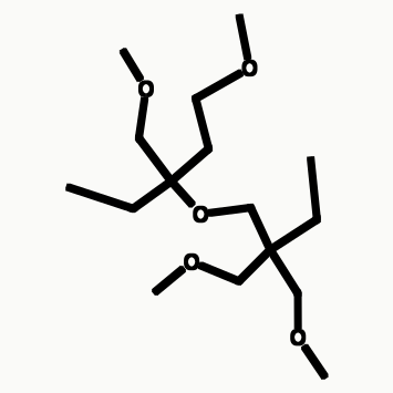 CCC(COC)(COC)COC(CC)(CCOC)COC